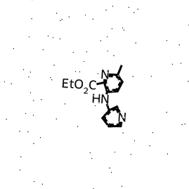 CCOC(=O)c1nc(C)ccc1Nc1cccnc1